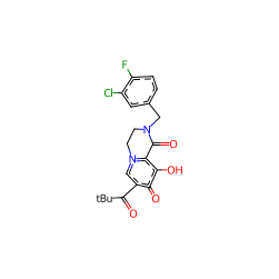 CC(C)(C)C(=O)c1cn2c(c(O)c1=O)C(=O)N(Cc1ccc(F)c(Cl)c1)CC2